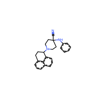 N#CC1(Nc2ccccc2)CCN(C2CCc3cccc4cccc2c34)CC1